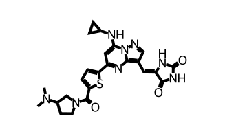 CN(C)C1CCN(C(=O)c2ccc(-c3cc(NC4CC4)n4ncc(/C=C5\NC(=O)NC5=O)c4n3)s2)C1